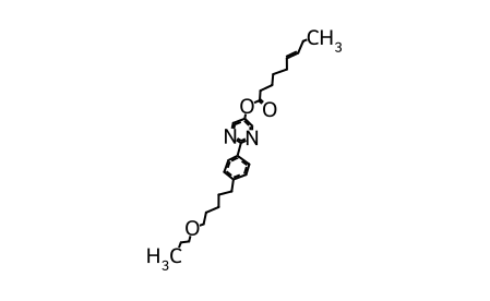 CCC=CCCCCC(=O)Oc1cnc(-c2ccc(CCCCCOCCC)cc2)nc1